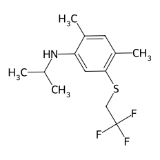 Cc1cc(C)c(SCC(F)(F)F)cc1NC(C)C